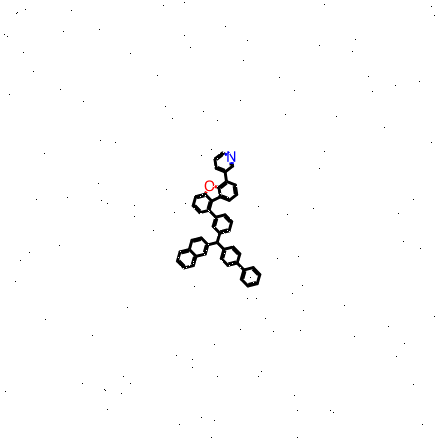 c1ccc(-c2ccc(C(c3cccc(-c4cccc5oc6c(-c7cccnc7)cccc6c45)c3)c3ccc4ccccc4c3)cc2)cc1